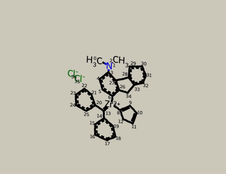 CN(C)c1cc[c]([Zr+2]([C]2=CC=CC2)=[C](c2ccccc2)c2ccccc2)c2c1-c1ccccc1C2.[Cl-].[Cl-]